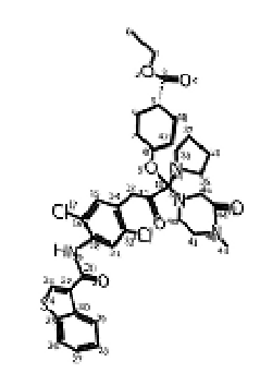 CCOC(=O)[C@H]1CC[C@H](OC(C(=O)Cc2cc(Cl)c(NC(=O)c3csc4ccccc34)cc2Cl)(N2CCCC2)N2CCN(C)C(=O)C2)CC1